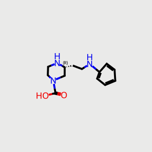 O=C(O)N1CCN[C@H](CCNc2ccccc2)C1